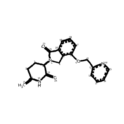 C=C1CCC(N2Cc3c(OCc4ccccn4)cccc3C2=O)C(=O)N1